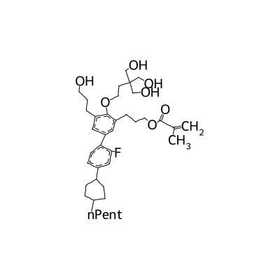 C=C(C)C(=O)OCCCc1cc(-c2ccc(C3CCC(CCCCC)CC3)cc2F)cc(CCCO)c1OCCC(CO)(CO)CO